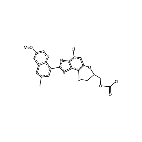 COc1cnc2c(-c3nc4c(Cl)cc5c(c4s3)OCC(COC(=O)Cl)O5)cc(C)cc2n1